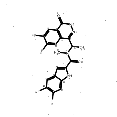 C[C@H](c1n[nH]c(=O)c2cc(F)c(F)cc12)N(C)C(=O)c1cc2cc(F)c(F)cc2[nH]1